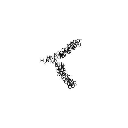 Nc1nc(N)[nH+]c(N)n1.[NH4+].[O]=[Mo](=[O])([O-])[O-].[O]=[Mo](=[O])([O-])[O-].[O]=[Mo](=[O])([O-])[O-].[O]=[Mo](=[O])([O-])[O-].[O]=[Mo](=[O])([O-])[O-].[O]=[Mo](=[O])([O-])[O-].[O]=[Mo](=[O])([O-])[O-].[O]=[Mo](=[O])([O-])[O-]